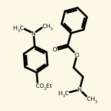 CCOC(=O)c1ccc(N(C)C)cc1.CN(C)CCOC(=O)c1ccccc1